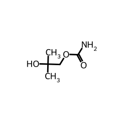 CC(C)(O)COC(N)=O